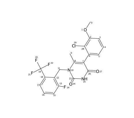 COc1cccc(-c2c(C)n(Cc3c(F)cccc3C(F)(F)F)c(=O)[nH]c2=O)c1Cl